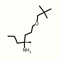 CCC[C@@](C)(N)CCCOCC(C)(C)C